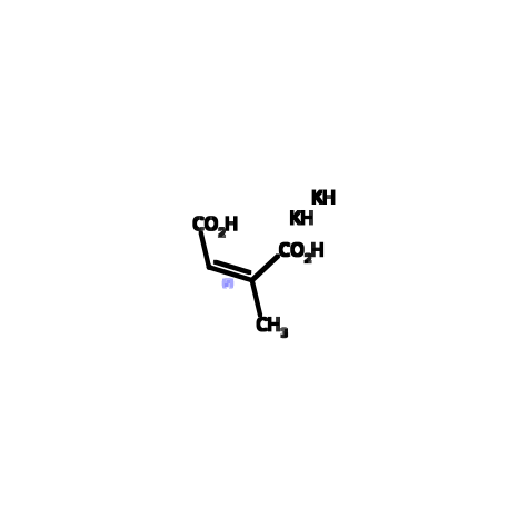 C/C(=C/C(=O)O)C(=O)O.[KH].[KH]